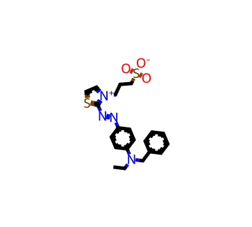 CCN(Cc1ccccc1)c1ccc(/N=N/c2scc[n+]2CCCS(=O)(=O)[O-])cc1